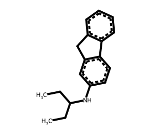 CCC(CC)Nc1[c]c2c(cc1)-c1ccccc1C2